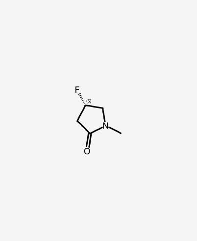 CN1C[C@@H](F)CC1=O